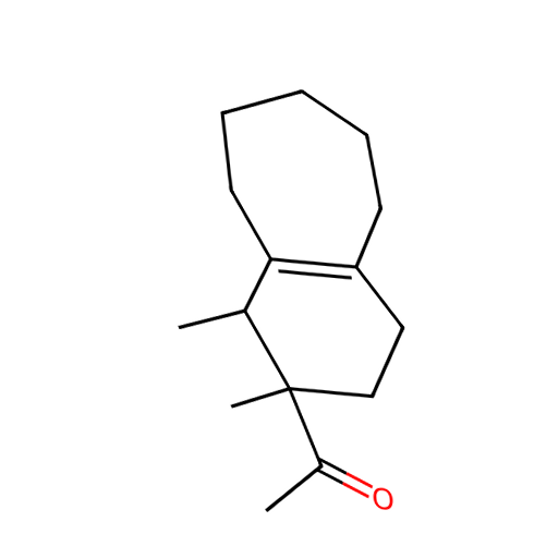 CC(=O)C1(C)CCC2=C(CCCCC2)C1C